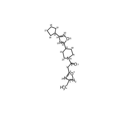 Cc1noc(CC(=O)N2CCC(c3nc(C4CCCC4)no3)CC2)n1